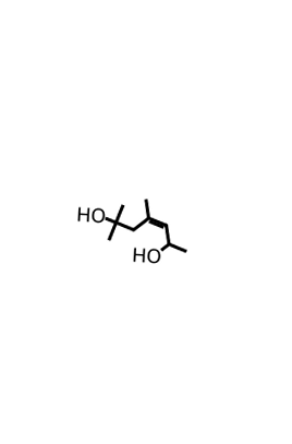 CC(=CC(C)O)CC(C)(C)O